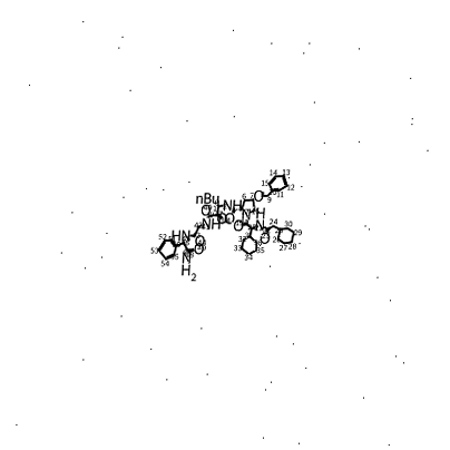 CCCCC(NC(=O)[C@@H]1C[C@@H](OCc2ccccc2)CN1C(=O)C(NC(=O)CC1CCCCC1)C1CCCCC1)C(=O)C(=O)NCC(=O)NC(C(N)=O)c1ccccc1